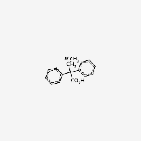 CC(C(=O)O)(c1ccccc1)c1ccccc1.[MgH2]